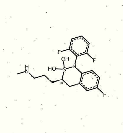 CNCCC[C@@H]1Cc2cc(F)ccc2N(c2c(F)cccc2F)S1(O)O